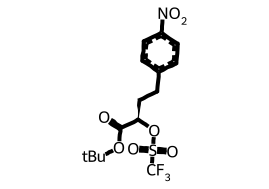 CC(C)(C)OC(=O)[C@@H](CCc1ccc([N+](=O)[O-])cc1)OS(=O)(=O)C(F)(F)F